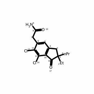 CCCC1(CC)Cc2cc(CC(N)=O)c(Cl)c(Cl)c2C1=O